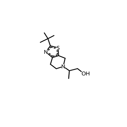 CC(CO)N1CCc2nc(C(C)(C)C)sc2C1